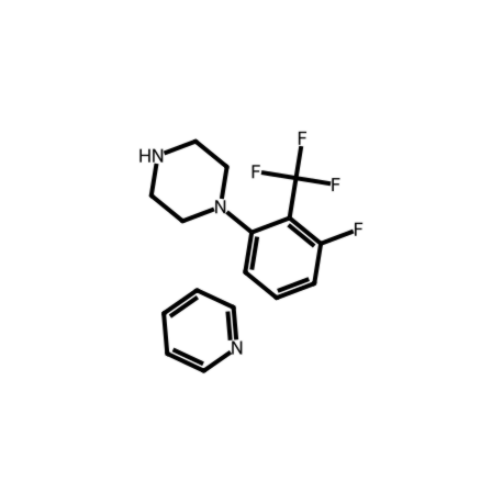 Fc1cccc(N2CCNCC2)c1C(F)(F)F.c1ccncc1